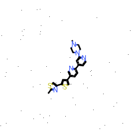 Cc1nc(-c2cc(-c3ccc(-c4ccnc(N5CCN(C)CC5)c4)nc3)[c]s2)cs1